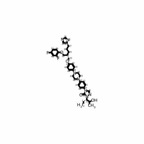 CC[C@@H](C(C)O)n1ncn(-c2ccc(N3CCN(c4ccc(OC[C@@H](CCCn5cncn5)COc5ccc(F)cc5F)cc4)CC3)cc2)c1=O